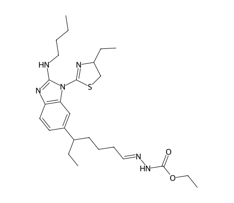 CCCCNc1nc2ccc(C(CC)CCCC=NNC(=O)OCC)cc2n1C1=NC(CC)CS1